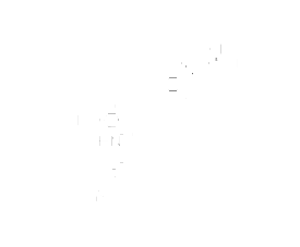 CC(C)(C)OCC(C)(C)OC(=O)C(=O)CCNC(=O)c1cc(O)cc(OCCOCCOc2cc(O)cc(C(=O)N[C@@H](CC(=O)O)C(=O)O)c2)c1